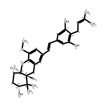 COc1cc(/C=C/c2cc(O)c(CC=C(C)C)c(O)c2)cc2c1O[C@]1(C)CC[C@@H](O)C(C)(C)[C@H]1C2